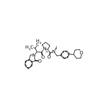 CC(C)C(C(=O)N1CCC[C@H]1C(=O)N(I)Cc1ccc(C2CCOCC2)cc1)N1Cc2ccccc2C1=O